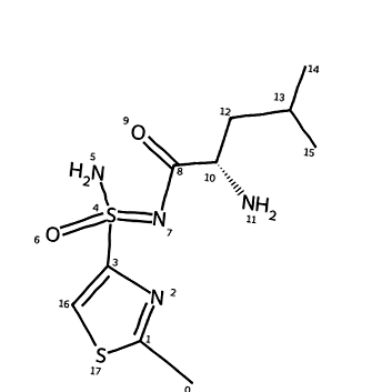 Cc1nc(S(N)(=O)=NC(=O)[C@@H](N)CC(C)C)cs1